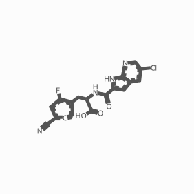 N#Cc1ccc(CC(NC(=O)c2cc3cc(Cl)cnc3[nH]2)C(=O)O)c(F)c1